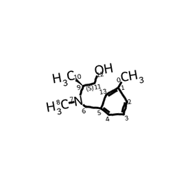 Cc1cccc(CN(C)[C@@H](C)CO)c1